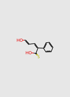 OC=CC=C(C(O)=S)c1ccccc1